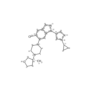 C[C@]1(N2CCN(c3cc4c(cnn4-c4cnn(C5CC5)c4)cc3Cl)CC2)CCOC1